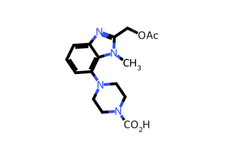 CC(=O)OCc1nc2cccc(N3CCN(C(=O)O)CC3)c2n1C